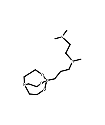 CN(C)CCN(C)CCC[Si]12OCCN(CCO1)CCO2